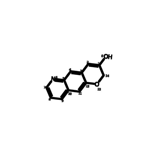 OC1=Cc2cc3ncccc3cc2OC1